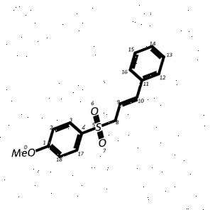 COc1ccc(S(=O)(=O)CC=Cc2ccccc2)cc1